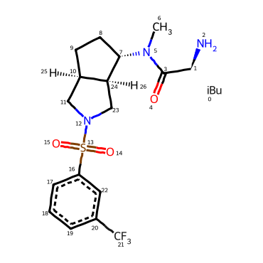 CC[C@H](C)[C@H](N)C(=O)N(C)[C@H]1CC[C@@H]2CN(S(=O)(=O)c3cccc(C(F)(F)F)c3)C[C@@H]21